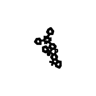 CC1(C)c2ccccc2-c2cc3c(cc21)P(=O)(c1ccccc1)c1cc(-c2nc(-c4ccccc4)nc(-c4ccccc4)n2)ccc1O3